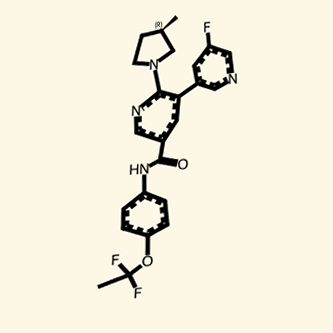 C[C@@H]1CCN(c2ncc(C(=O)Nc3ccc(OC(C)(F)F)cc3)cc2-c2cncc(F)c2)C1